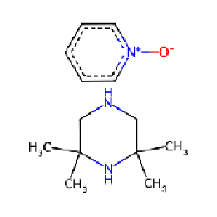 CC1(C)CNCC(C)(C)N1.[O-][n+]1ccccc1